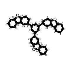 c1ccc2c(c1)oc1ccc(-c3cc(-c4ccc5oc6ccccc6c5c4)cc(-c4ccc5oc6ccccc6c5c4)c3)cc12